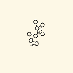 CC1(C)c2ccccc2-c2c(-c3ccc(N(c4ccccc4)c4ccc(-c5ccccc5)c5c4sc4ccccc45)cc3-c3ccccc3)cccc21